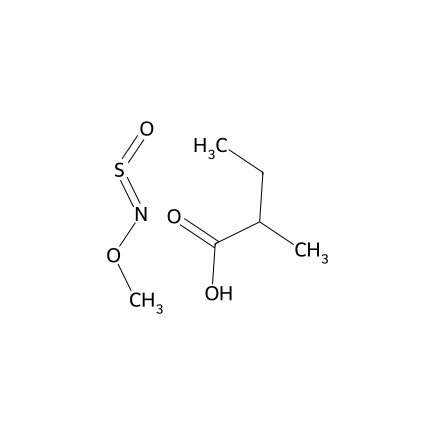 CCC(C)C(=O)O.CON=S=O